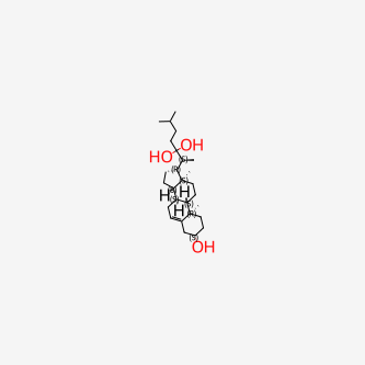 CC(C)CCC(O)(O)[C@@H](C)[C@H]1CC[C@H]2[C@@H]3CC=C4C[C@@H](O)CC[C@]4(C)[C@H]3CC[C@]12C